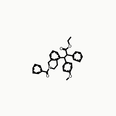 CCOC(=O)C(c1ccccc1)C(c1ccc(OC)cc1)c1cccc2c1CCN(C(=O)c1ccccc1)C2